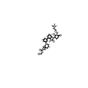 Cn1c(=O)n(C2CCC(=O)N(COCC[Si](C)(C)C)C2=O)c2cccc(-c3cccc(N4CCCC5(CN(C(=O)OC(C)(C)C)C5)C4)c3)c21